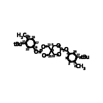 Cc1ccc(OP2OCC3(CO2)COP(Oc2ccc(C)c(C(C)(C)C)c2)OC3)cc1C(C)(C)C